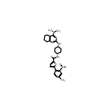 Cc1ccc(-c2ccc(C(=O)N[C@H]3CC[C@@H](Nc4nc5c(c(N(C)C)n4)CCCC5)CC3)o2)c([N+](=O)[O-])c1